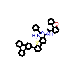 C=C(NC(/N=C(\N)c1ccccc1)c1ccc2c(c1)sc1c(-c3ccc4c5ccccc5c5ccccc5c4c3)cccc12)c1cccc2oc3ccccc3c12